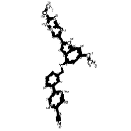 COc1cc(OCc2cccc(-c3cnc(C#N)cn3)c2)c2cc(-c3cn4nc(OC)sc4n3)oc2c1